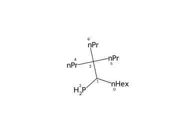 CCCCCCC(P)C(CCC)(CCC)CCC